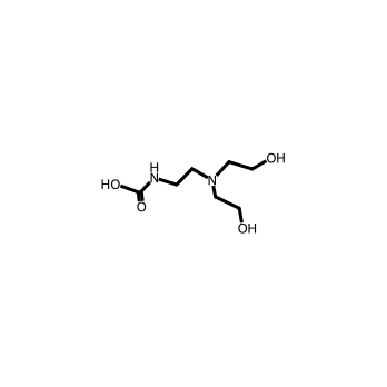 O=C(O)NCCN(CCO)CCO